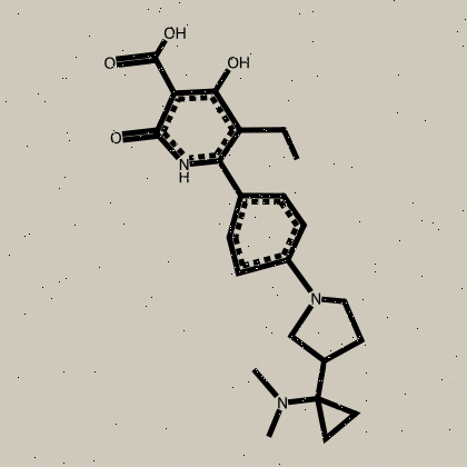 CCc1c(-c2ccc(N3CCC(C4(N(C)C)CC4)C3)cc2)[nH]c(=O)c(C(=O)O)c1O